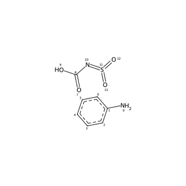 Nc1ccccc1.O=C(O)N=S(=O)=O